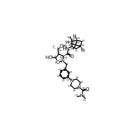 C[C@H](O)C1C(O)ON(Cc2cccc(N3CCN(C(=O)N(C)C)CC3)c2)[C@@H]1C(=O)NC1C[C@H]2C[C@@H]([C@@H]1C)C2(C)C